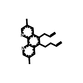 C=CCCc1c(CC=C)c2cc(C)cnc2c2ncc(C)cc12